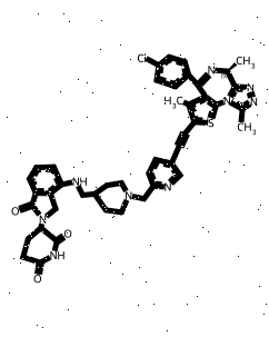 Cc1c(C#Cc2ccc(CN3CCC(CNc4cccc5c4CN(C4CCC(=O)NC4=O)C5=O)CC3)nc2)sc2c1C(c1ccc(Cl)cc1)=N[C@@H](C)c1nnc(C)n1-2